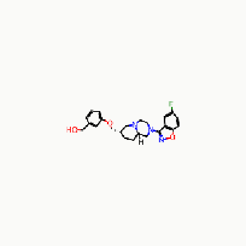 OCc1cccc(OC[C@H]2CC[C@H]3CN(c4noc5ccc(F)cc45)CCN3C2)c1